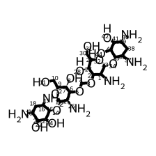 NC1C(OCOC2[C@@H](O)C(CO)O[C@@H](O[C@H]3C(N)C[C@H](N)C(O)C3O)[C@@H]2N)[C@H](O)C(CO)O[C@@H]1O[C@@H]1C(N)C[C@@H](N)C(O)C1O